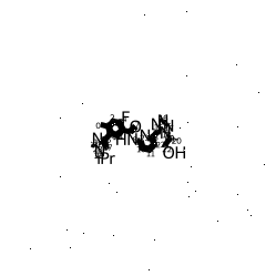 Cc1cc(F)c(C(=O)Nc2cccc(-c3nnnn3[C@H](C)CO)n2)cc1-c1cn(C(C)C)cn1